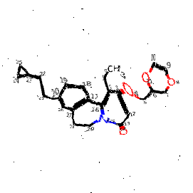 CCc1c(OCC2COCCO2)cc(=O)n2c1-c1ccc(CCC3CC3)cc1CC2